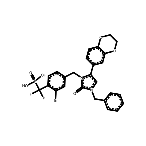 O=c1n(Cc2ccccc2)cc(-c2ccc3c(c2)OCCO3)n1Cc1ccc(C(F)(F)P(=O)(O)O)c(Br)c1